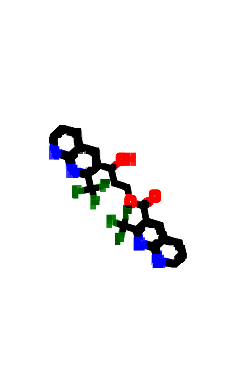 O=C(OCCC(O)c1cc2cccnc2nc1C(F)(F)F)c1cc2cccnc2nc1C(F)(F)F